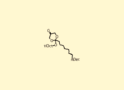 CCCCCCCCCCCCCCCCCC1(OCCCCCCCC)OCC(=O)CO1